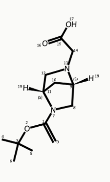 C=C(OC(C)(C)C)N1C[C@@H]2C[C@H]1CN2CC(=O)O